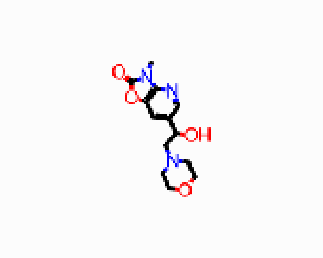 Cn1c(=O)oc2cc(C(O)CN3CCOCC3)cnc21